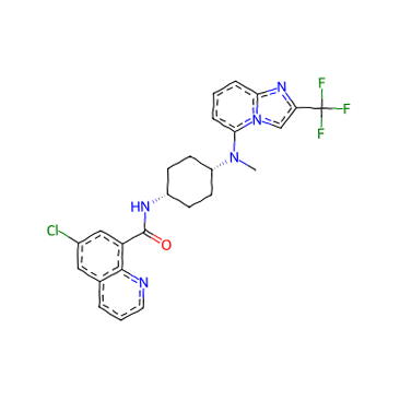 CN(c1cccc2nc(C(F)(F)F)cn12)[C@H]1CC[C@@H](NC(=O)c2cc(Cl)cc3cccnc23)CC1